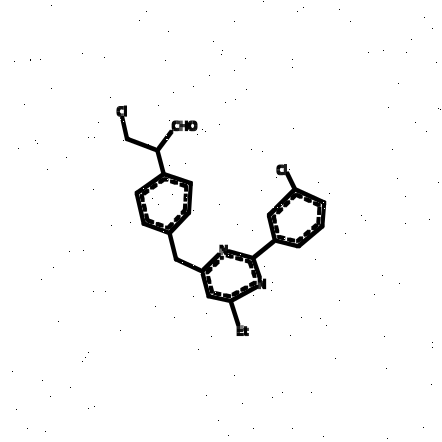 CCc1cc(Cc2ccc(C(C=O)CCl)cc2)nc(-c2cccc(Cl)c2)n1